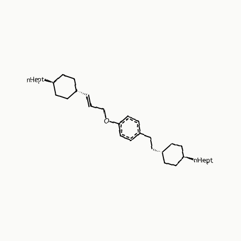 CCCCCCC[C@H]1CC[C@H](/C=C/COc2ccc(CC[C@H]3CC[C@H](CCCCCCC)CC3)cc2)CC1